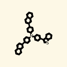 c1ccc2cc(-c3ccc(N(c4ccc(-c5ccc6ccccc6c5)cc4)c4ccc(-c5csc6ccccc56)cc4)cc3)ccc2c1